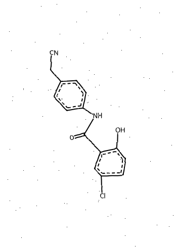 N#CCc1ccc(NC(=O)c2cc(Cl)ccc2O)cc1